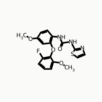 COc1ccc(NC(=O)Nc2nccs2)c(Oc2c(F)cccc2OC)c1